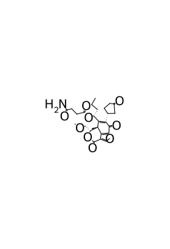 CCC[C@@H](OC(=O)CCC(N)=O)C1=C([C@@H]2CCC(=O)C2)C(=O)c2occ3c2[C@]1(C)[C@@H](COC)OC3=O